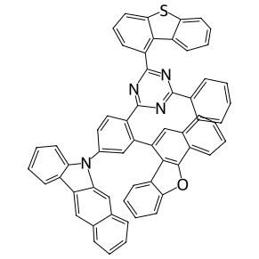 c1ccc(-c2nc(-c3ccc(-n4c5ccccc5c5cc6ccccc6cc54)cc3-c3cc4ccccc4c4oc5ccccc5c34)nc(-c3cccc4sc5ccccc5c34)n2)cc1